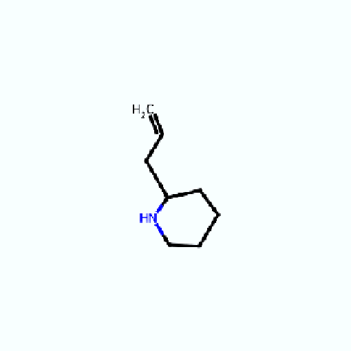 C=CC[C]1CCCCN1